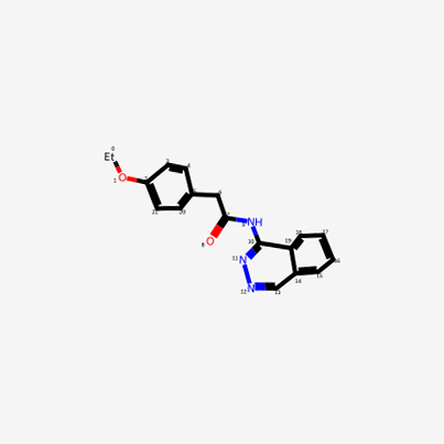 CCOc1ccc(CC(=O)Nc2nncc3ccccc23)cc1